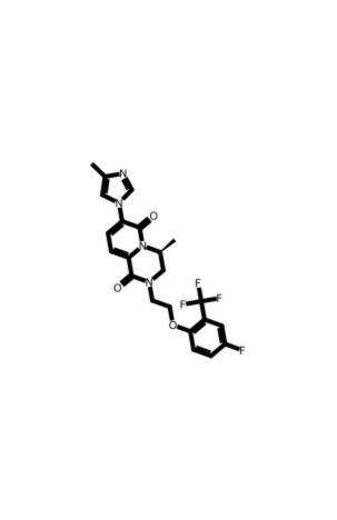 Cc1cn(-c2ccc3n(c2=O)[C@@H](C)CN(CCOc2ccc(F)cc2C(F)(F)F)C3=O)cn1